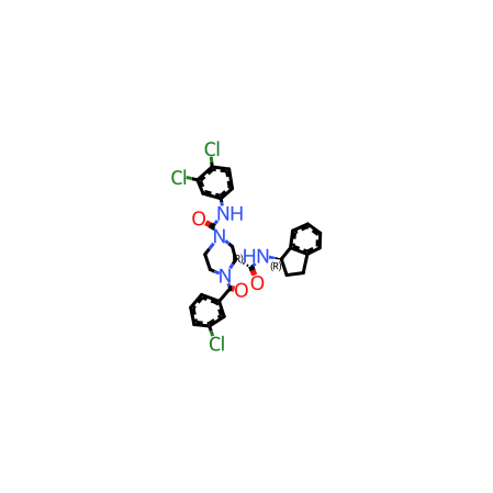 O=C(N[C@@H]1CCc2ccccc21)[C@H]1CN(C(=O)Nc2ccc(Cl)c(Cl)c2)CCN1C(=O)c1cccc(Cl)c1